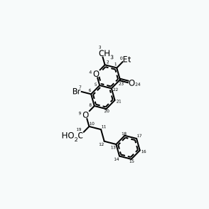 CCc1c(C)oc2c(Br)c(OC(CCc3ccccc3)C(=O)O)ccc2c1=O